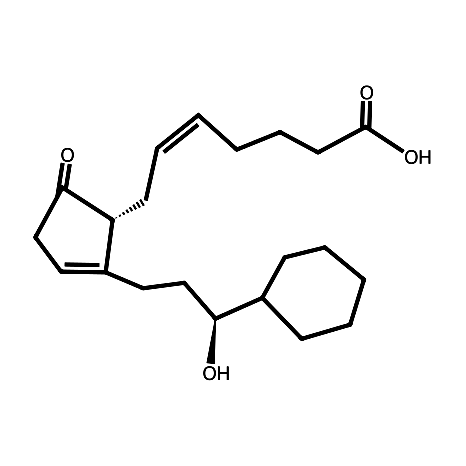 O=C(O)CCC/C=C\C[C@H]1C(=O)CC=C1CC[C@H](O)C1CCCCC1